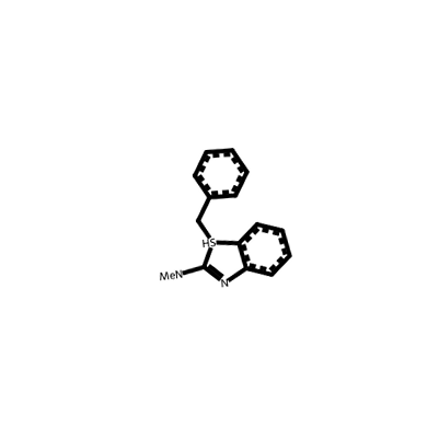 CNC1=Nc2ccccc2[SH]1Cc1ccccc1